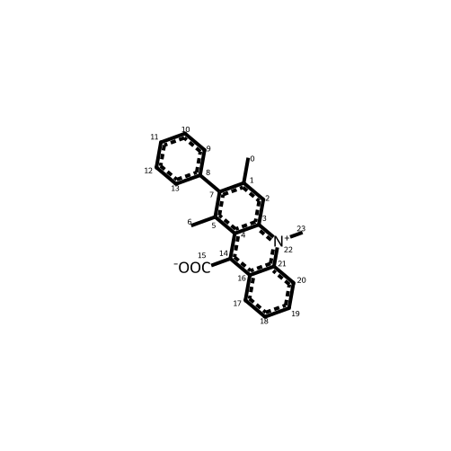 Cc1cc2c(c(C)c1-c1ccccc1)c(C(=O)[O-])c1ccccc1[n+]2C